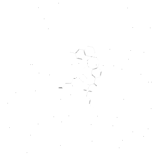 C=CC[C@H](O)C[C@@H]1CC[C@H]1CN1C[C@@]2(CCCc3cc(Cl)ccc32)COc2ccc(C(=O)NS(=O)(=O)CC=C)cc21